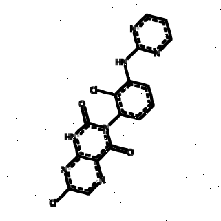 O=c1[nH]c2nc(Cl)cnc2c(=O)n1-c1cccc(Nc2ncccn2)c1Cl